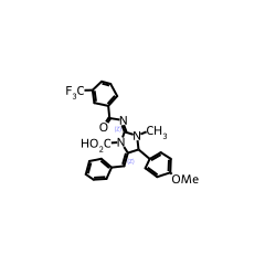 COc1ccc(C2/C(=C/c3ccccc3)N(C(=O)O)/C(=N\C(=O)c3cccc(C(F)(F)F)c3)N2C)cc1